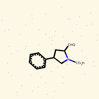 O=CC1CC(c2ccccc2)CN1C(=O)O